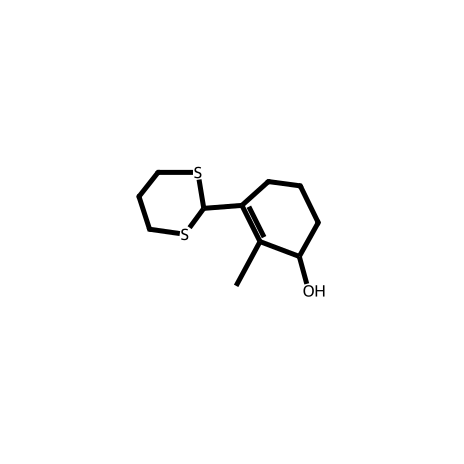 CC1=C(C2SCCCS2)CCCC1O